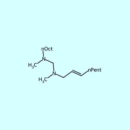 CCCCC/C=C/CN(C)CN(C)CCCCCCCC